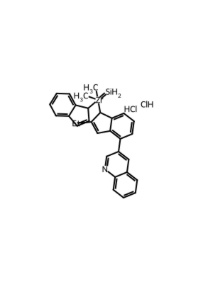 CCC1=Cc2c(-c3cnc4ccccc4c3)cccc2[CH]1[Zr]([CH3])([CH3])(=[SiH2])[CH]1C=Cc2ccccc21.Cl.Cl